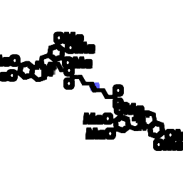 COc1cc2c(cc1OC)[C@@H](Cc1cc(OC)c(OC)c(OC)c1)[N@@+](C)(CCCOC(=O)CC/C=C/CCC(=O)OCCC[N@+]1(C)CCc3cc(OC)c(OC)cc3[C@H]1Cc1cc(OC)c(OC)c(OC)c1)CC2